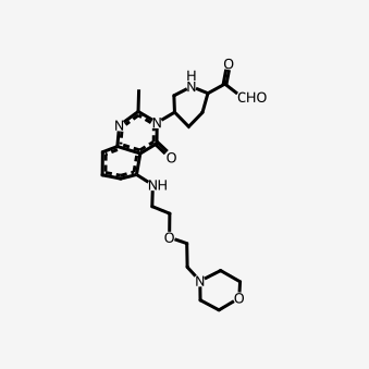 Cc1nc2cccc(NCCOCCN3CCOCC3)c2c(=O)n1C1CCC(C(=O)C=O)NC1